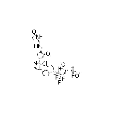 COc1cc(-c2nccc(-c3cccc4c3CCC[C@@H]4Oc3nc(OC)c(CNC[C@H](C)O)cc3C(F)(F)F)c2Cl)ccc1CNC[C@H]1CCC(=O)N1